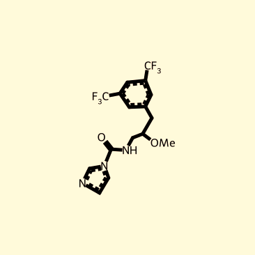 COC(CNC(=O)n1ccnc1)Cc1cc(C(F)(F)F)cc(C(F)(F)F)c1